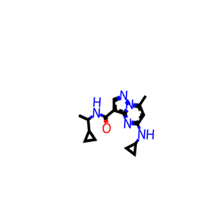 Cc1cc(NC2CC2)nc2c(C(=O)NC(C)C3CC3)cnn12